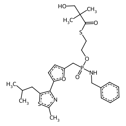 Cc1nc(-c2ccc(CP(=O)(NCc3ccccc3)OCCSC(=O)C(C)(C)CO)o2)c(CC(C)C)s1